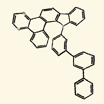 c1ccc(-c2cccc(-c3cccc(-n4c5ccccc5c5ccc6c7nccnc7c7ccccc7c6c54)c3)c2)cc1